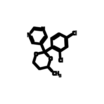 CC1CCOC(c2cncnc2)(c2ccc(Cl)cc2Cl)O1